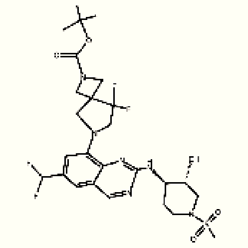 CC(C)(C)OC(=O)N1CC2(C1)CN(c1cc(C(F)F)cc3cnc(N[C@@H]4CCN(S(C)(=O)=O)C[C@H]4O)nc13)CC2(F)F